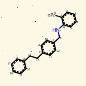 CCCc1ccccc1NCc1ccc(CCc2ccccc2)cc1